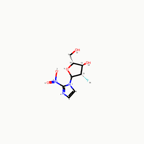 O=[N+]([O-])c1nccn1C1O[C@H](CO)[C@@H](O)[C@@H]1F